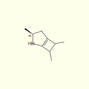 CC1C2=C(N[C@@H](C)C2)C1C